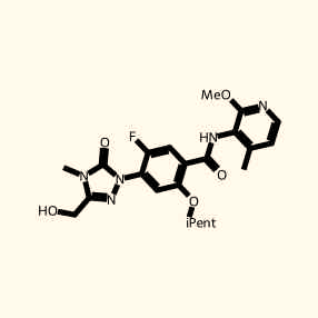 CCCC(C)Oc1cc(-n2nc(CO)n(C)c2=O)c(F)cc1C(=O)Nc1c(C)ccnc1OC